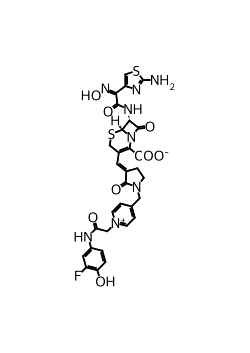 Nc1nc(/C(=N/O)C(=O)N[C@@H]2C(=O)N3C(C(=O)[O-])=C(C=C4CCN(Cc5cc[n+](CC(=O)Nc6ccc(O)c(F)c6)cc5)C4=O)CS[C@H]23)cs1